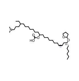 CCCCCC[C@H](C/C=C\CCCCCCCC(CCCCCCCC(CC)CCCN(C)C)OC(=O)O)OC1CCCO1